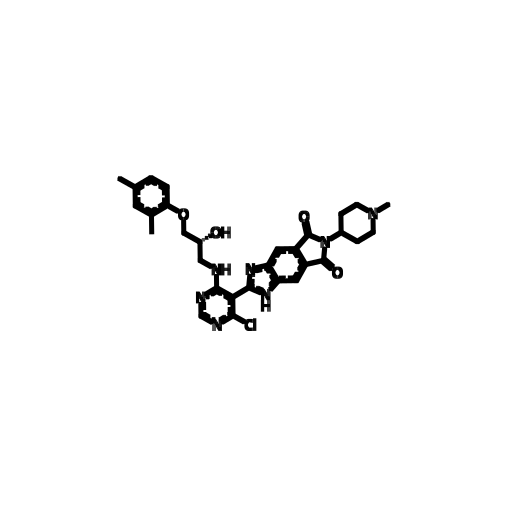 Cc1ccc(OC[C@H](O)CNc2ncnc(Cl)c2-c2nc3cc4c(cc3[nH]2)C(=O)N(C2CCN(C)CC2)C4=O)c(C)c1